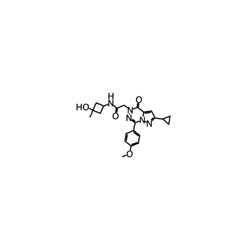 COc1ccc(-c2nn(CC(=O)NC3CC(C)(O)C3)c(=O)c3cc(C4CC4)nn23)cc1